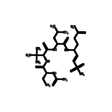 CC[C@H](NC(C)=O)C(=O)N[C@H](C(=O)N[C@@H](CC(C)C)C(=O)N[C@H](/C=C/S(C)(=O)=O)CCC(N)=O)C(C)(C)C